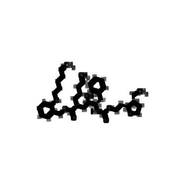 C=CCCCCOc1ccccc1COC(=O)N(CCCC=C)C[C@@H](O)[C@H](Cc1ccccc1)NC(=O)OCC[C@H]1OCC[C@H]1CC